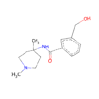 CN1CCC(C)(NC(=O)c2cccc(CO)c2)CC1